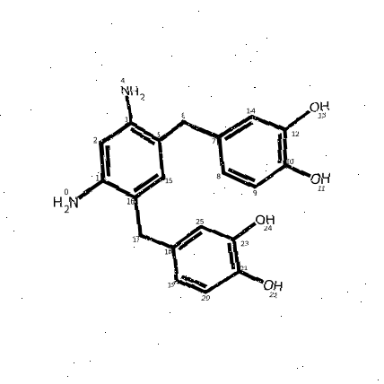 Nc1cc(N)c(Cc2ccc(O)c(O)c2)cc1Cc1ccc(O)c(O)c1